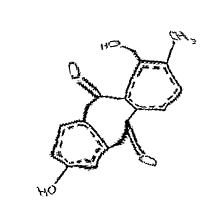 Cc1ccc2c(c1O)C(=O)c1ccc(O)cc1C2=O